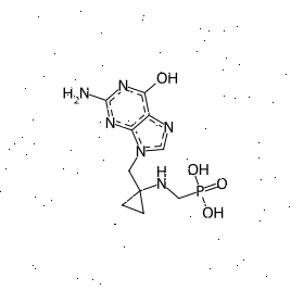 Nc1nc(O)c2ncn(CC3(NCP(=O)(O)O)CC3)c2n1